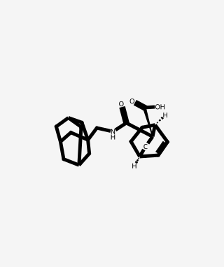 O=C(O)[C@]1(C(=O)NCC23CC4CC(CC(C4)C2)C3)C[C@H]2C=C[C@@H]1CC2